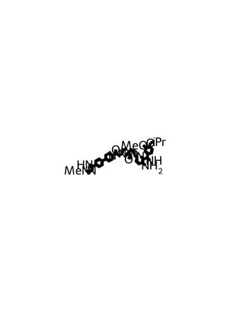 CN/C=N\C(=N)c1ccc(C2=CCN(C(=O)CN3CC[C@]4(CCN(c5ccc(N)c(C(=N)c6ccc(OC(C)C)c(OC)c6)n5)C4=O)C3)CC2)cc1